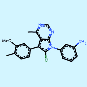 COc1cc(-c2c(Cl)n(-c3cccc(N)c3)c3ncnc(C)c23)ccc1C